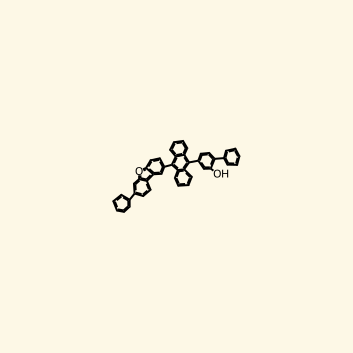 Oc1cc(-c2c3ccccc3c(-c3ccc4oc5cc(-c6ccccc6)ccc5c4c3)c3ccccc23)ccc1-c1ccccc1